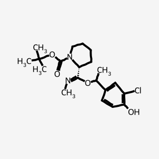 C/N=C(\OC(C)c1ccc(O)c(Cl)c1)[C@H]1CCCCN1C(=O)OC(C)(C)C